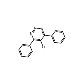 Clc1c(-c2ccccc2)nnnc1-c1ccccc1